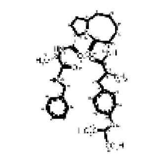 C[C@H](NC(=O)[C@@H]1CCC2CCCC[C@H](NC(=O)[C@@H](N)Cc3ccc(OC(C(=O)O)C(=O)O)cc3)C(=O)N21)C(=O)NCc1ccccc1